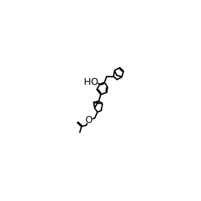 C=C(C)COCC1CC2CC1C=C2c1ccc(CC2CC3C=CC2C3)c(O)c1